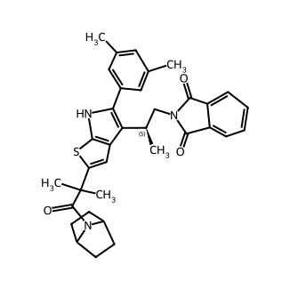 Cc1cc(C)cc(-c2[nH]c3sc(C(C)(C)C(=O)N4C5CCC4CC5)cc3c2[C@H](C)CN2C(=O)c3ccccc3C2=O)c1